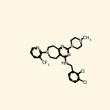 CN1CCN(c2nc3c(c(NCc4cccc(Cl)c4Cl)n2)CCN(c2ncccc2C(F)(F)F)CC3)CC1